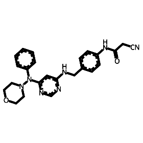 N#CCC(=O)Nc1ccc(CNc2cc(N(c3ccccc3)N3CCOCC3)ncn2)cc1